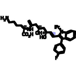 C=C(C[C@@H](O)C[C@@H](O)/C=C/c1c(-c2ccc(F)cc2)c2ccccc2n1C(C)C)N[C@H](CCCCN)C(=O)O